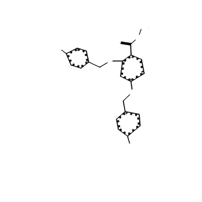 COC(=O)c1ccc(OCc2ccc(Cl)cc2)cc1OCc1ccc(Cl)cc1